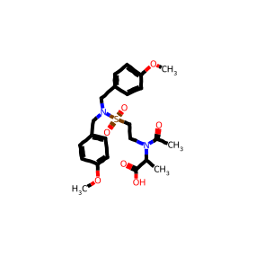 COc1ccc(CN(Cc2ccc(OC)cc2)S(=O)(=O)CCN(C(C)=O)C(C)C(=O)O)cc1